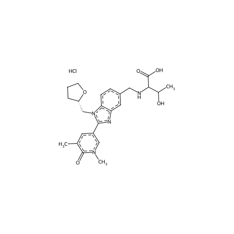 Cc1cc(-c2nc3cc(CNC(C(=O)O)C(C)O)ccc3n2C[C@@H]2CCCO2)cn(C)c1=O.Cl